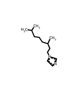 CC(C)CCCC(C)CCn1ccnc1